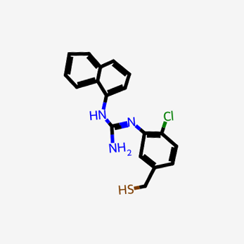 NC(=Nc1cc(CS)ccc1Cl)Nc1cccc2ccccc12